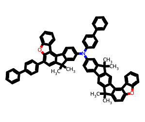 CC1(C)c2cc(N(c3ccc(-c4ccccc4)cc3)c3ccc4c(c3)C(C)(C)c3cc(-c5ccc(-c6ccccc6)cc5)c5oc6ccccc6c5c3-4)ccc2-c2cc3c(cc21)-c1c(ccc2oc4ccccc4c12)C3(C)C